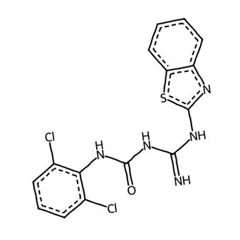 N=C(NC(=O)Nc1c(Cl)cccc1Cl)Nc1nc2ccccc2s1